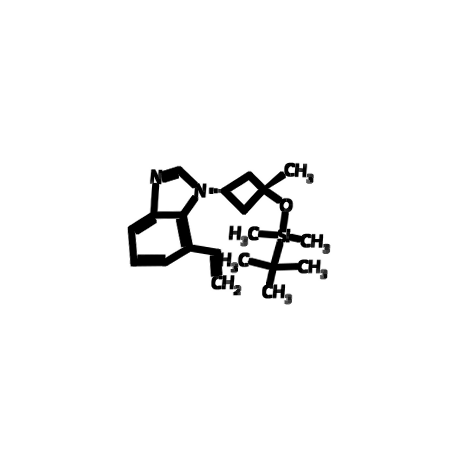 C=Cc1cccc2ncn([C@H]3C[C@@](C)(O[Si](C)(C)C(C)(C)C)C3)c12